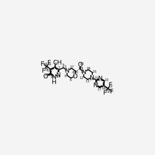 Cc1c(CN2CCO[C@@H](C(=O)N3CCN(c4ncc(C(F)(F)F)cn4)CC3)C2)n[nH]c(=O)c1C(F)(F)F